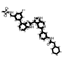 CS(=O)(=O)NCc1cc(F)cc(-c2cncc3[nH]c(-c4n[nH]c5cnc(-c6cncc(NC(=O)CC7CCCCC7)c6)cc45)nc23)c1